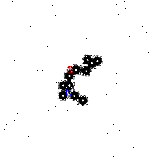 c1ccc(-c2ccc(N(C3=c4ccccc4=C(c4ccc5oc6ccc(-c7cccc(-c8cc9ccccc9c9ccccc89)c7)cc6c5c4)CC3)c3ccccc3)cc2)cc1